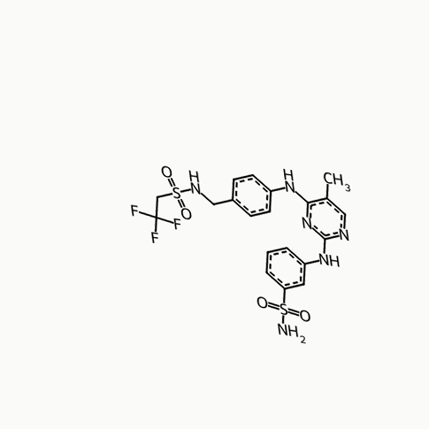 Cc1cnc(Nc2cccc(S(N)(=O)=O)c2)nc1Nc1ccc(CNS(=O)(=O)CC(F)(F)F)cc1